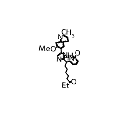 CCC(=O)CCCCCC(c1cccc(=O)[nH]1)c1ncc(-c2cc3ccc(C)nc3cc2OC)[nH]1